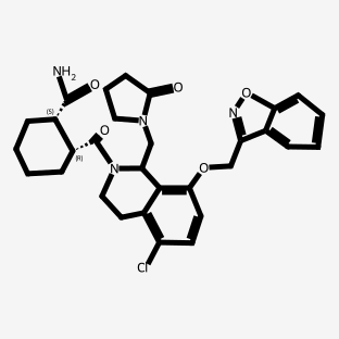 NC(=O)[C@H]1CCCC[C@H]1C(=O)N1CCc2c(Cl)ccc(OCc3noc4ccccc34)c2C1CN1CCCC1=O